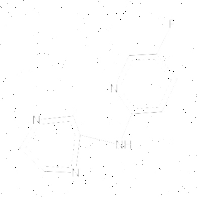 Fc1ccc(Nc2cnccn2)nc1